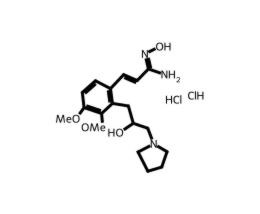 COc1ccc(C=CC(N)=NO)c(CC(O)CN2CCCC2)c1OC.Cl.Cl